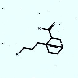 O=C(O)C1CC2C=CC1(CCCO)CC2